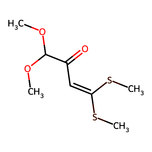 COC(OC)C(=O)C=C(SC)SC